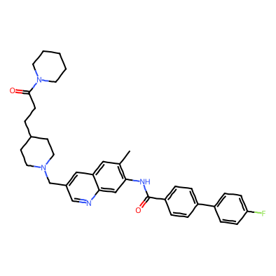 Cc1cc2cc(CN3CCC(CCC(=O)N4CCCCC4)CC3)cnc2cc1NC(=O)c1ccc(-c2ccc(F)cc2)cc1